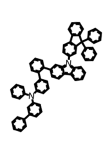 c1ccc(-c2cccc(N(c3ccccc3)c3cccc(-c4ccccc4-c4ccc5c6ccccc6n(-c6ccc7c(c6)C(c6ccccc6)(c6ccccc6)c6ccccc6-7)c5c4)c3)c2)cc1